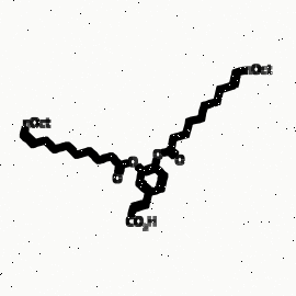 CCCCCCCCC=CCCCCCCCC(=O)Oc1ccc(/C=C/C(=O)O)cc1OC(=O)CCCCCCC/C=C\CCCCCCCC